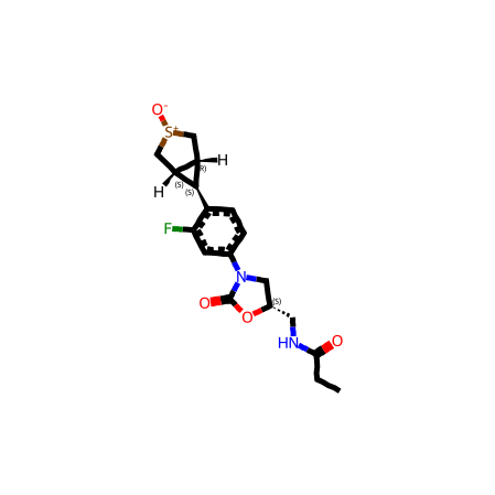 CCC(=O)NC[C@H]1CN(c2ccc([C@H]3[C@@H]4C[S+]([O-])C[C@@H]43)c(F)c2)C(=O)O1